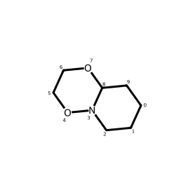 C1CCN2OCCOC2C1